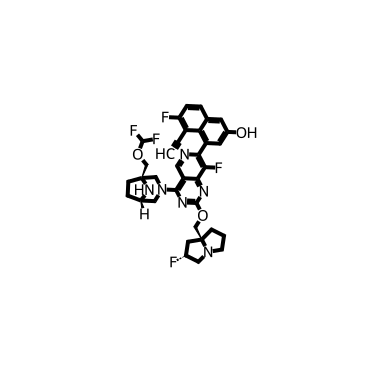 C#Cc1c(F)ccc2cc(O)cc(-c3ncc4c(N5C[C@@H]6CC[C@](COC(F)F)(C5)N6)nc(OC[C@@]56CCCN5C[C@H](F)C6)nc4c3F)c12